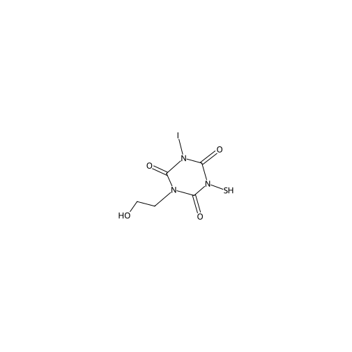 O=c1n(S)c(=O)n(CCO)c(=O)n1I